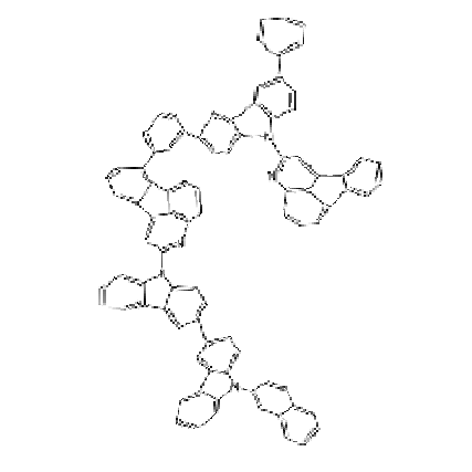 c1ccc(-c2ccc3c(c2)c2cc(-c4cccc(-c5cccc6c5-c5cccc7nc(-n8c9ccccc9c9cc(-c%10ccc%11c(c%10)c%10ccccc%10n%11-c%10ccc%11ccccc%11c%10)ccc98)cc-6c57)c4)ccc2n3-c2cc3c4c(cccc4n2)-c2ccccc2-3)cc1